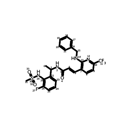 CC(NC(=O)C=Cc1ccc(C(F)(F)F)nc1NCc1ccccc1)c1cccc(F)c1NS(C)(=O)=O